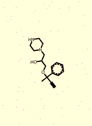 C#CC(C)(OCC(O)CN1CCNCC1)c1ccccc1